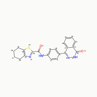 O=C(Nc1ccc(-c2n[nH]c(=O)c3ccccc23)cc1)c1nc2c(s1)CCCC2